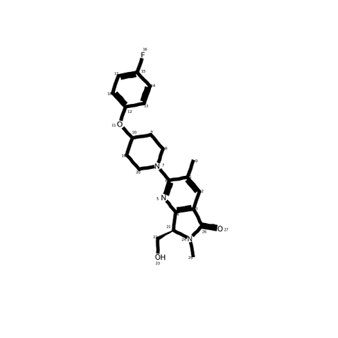 Cc1cc2c(nc1N1CCC(Oc3ccc(F)cc3)CC1)[C@H](CO)N(C)C2=O